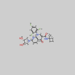 O=C(NC1(C(F)(F)F)CCC1)c1cn(-c2c(F)cc(F)cc2F)c2nc(N3C[C@@H](O)[C@H](O)C3)ccc2c1=O